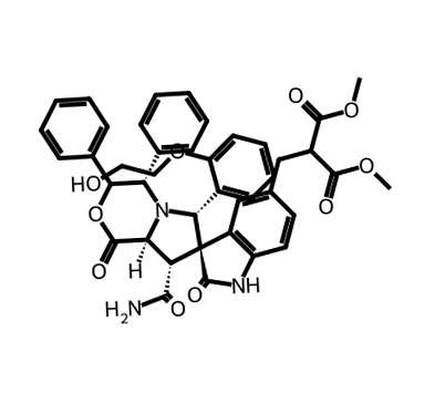 COC(=O)C(Cc1ccc2c(c1)[C@]1(C(=O)N2)[C@H](C(N)=O)[C@H]2C(=O)OC(c3ccccc3)[C@H](c3ccccc3)N2[C@@H]1c1ccccc1OCCO)C(=O)OC